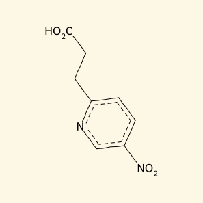 O=C(O)CCc1ccc([N+](=O)[O-])cn1